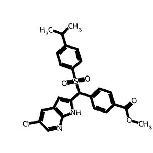 COC(=O)c1ccc(C(c2cc3cc(Cl)cnc3[nH]2)S(=O)(=O)c2ccc(C(C)C)cc2)cc1